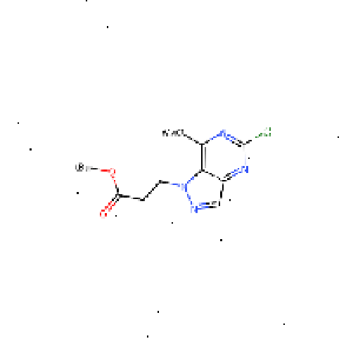 COc1nc(Cl)nc2cnn(CCC(=O)OC(C)(C)C)c12